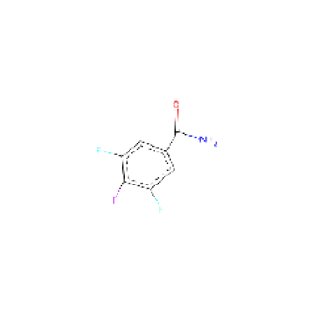 NC(=O)c1cc(F)c(I)c(F)c1